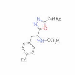 CCc1ccc(CC(NC(=O)O)c2nnc(NC(C)=O)o2)cc1